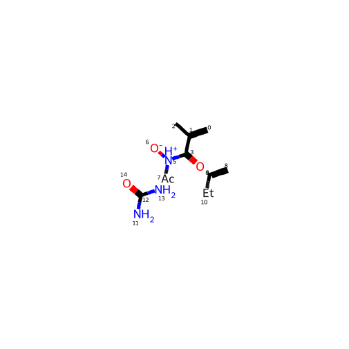 C=C(C)C(=O)[NH+]([O-])C(C)=O.C=CCC.NC(N)=O